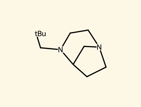 CC(C)(C)CN1CCN2CCC1C2